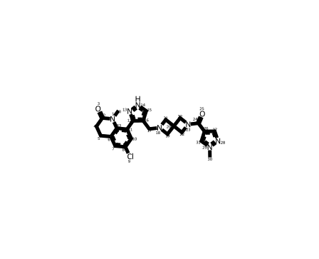 CN1C(=O)CCc2cc(Cl)cc(-c3n[nH]cc3CN3CC4(C3)CN(C(=O)c3cnn(C)c3)C4)c21